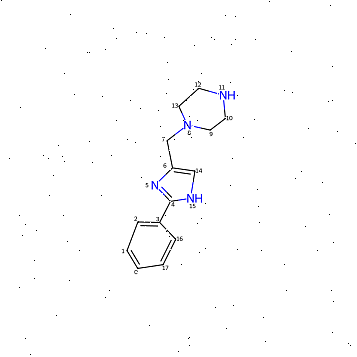 c1ccc(-c2nc(CN3CCNCC3)c[nH]2)cc1